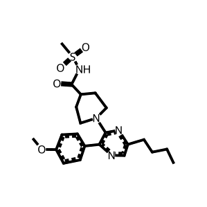 CCCCc1cnc(-c2ccc(OC)cc2)c(N2CCC(C(=O)NS(C)(=O)=O)CC2)n1